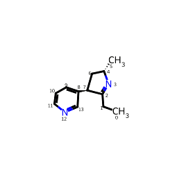 CCC1=N[C@@H](C)C[C@@H]1c1cccnc1